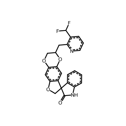 O=C1Nc2ccccc2C12COc1cc3c(cc12)OC(Cc1ncccc1C(F)F)CO3